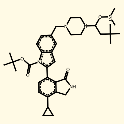 C[SiH](C)OC(CC(C)(C)C)N1CCN(Cc2ccc3c(c2)cc(-c2ccc(C4CC4)c4c2C(=O)NC4)n3C(=O)OC(C)(C)C)CC1